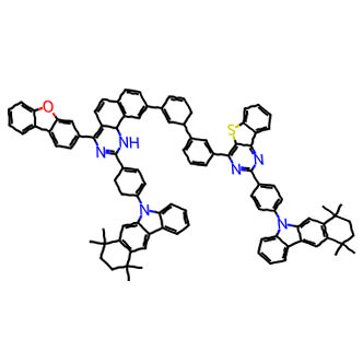 CC1(C)CCC(C)(C)c2cc3c(cc21)c1ccccc1n3C1=CC=C(C2=NC(c3ccc4c(c3)oc3ccccc34)=C3C=Cc4ccc(C5=CC(c6cccc(-c7nc(-c8ccc(-n9c%10ccccc%10c%10cc%11c(cc%109)C(C)(C)CCC%11(C)C)cc8)nc8c7sc7ccccc78)c6)CC=C5)cc4C3N2)CC1